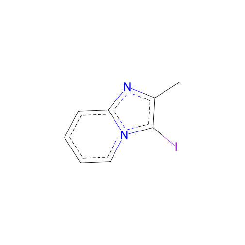 Cc1nc2ccccn2c1I